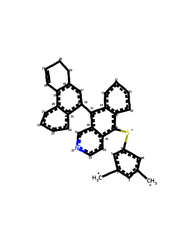 Cc1cc(C)cc(Sc2c3ccccc3c(-c3cc4c(c5ccccc35)C=CCC4)c3cnccc23)c1